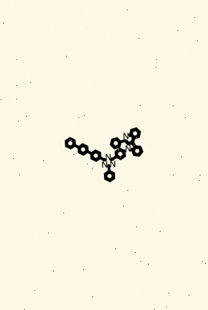 c1ccc(-c2ccc(-c3ccc(-c4nc(-c5ccccc5)nc(-c5ccc(-n6c7ccccc7c7c8ccccc8nc(-c8ccccc8)c76)cc5)n4)cc3)cc2)cc1